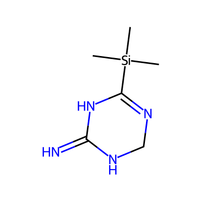 C[Si](C)(C)C1=NCNC(=N)N1